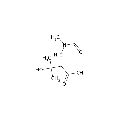 CC(=O)CC(C)(C)O.CN(C)C=O